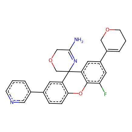 NC1=NC2(COC1)c1cc(-c3cccnc3)ccc1Oc1c(F)cc(C3=CCCOC3)cc12